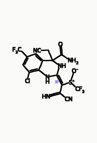 N#CCC1(C(N)=O)N/C(=C(/C(=N)C#N)[S+]([O-])C(F)(F)F)Nc2c(Cl)cc(C(F)(F)F)cc21